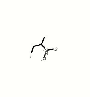 CC(CI)[SiH](Cl)Cl